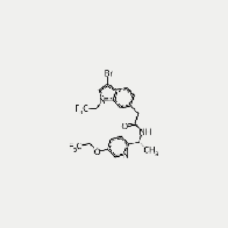 C[C@@H](NC(=O)Cc1ccc2c(Br)cn(CC(F)(F)F)c2c1)c1ccc(OCC(F)(F)F)cn1